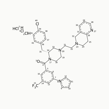 Cl.Cl.Cl.O=C(c1cc(-n2cccc2)cc(C(F)(F)F)c1)N1CCN(CCN2CCc3ncccc3C2)C[C@H]1Cc1ccc(Cl)cc1